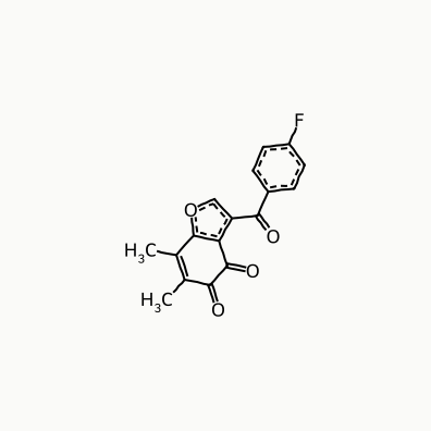 CC1=C(C)c2occ(C(=O)c3ccc(F)cc3)c2C(=O)C1=O